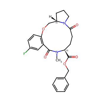 CN1C(=O)c2cc(F)ccc2OC[C@@H]2CCCN2C(=O)CC[C@H]1C(=O)OCc1ccccc1